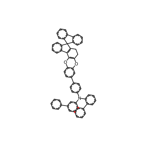 c1ccc(-c2cccc(N(c3ccc(-c4ccc5c(c4)OC4=C(O5)C5=C(CC4)C4(c6ccccc65)c5ccccc5-c5ccccc54)cc3)c3ccccc3-c3ccccc3)c2)cc1